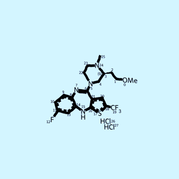 COCC[C@H]1CN(C2=Nc3ccc(F)cc3Nc3sc(C(F)(F)F)cc32)CCN1C.Cl.Cl